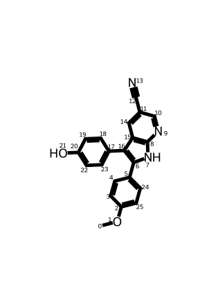 COc1ccc(-c2[nH]c3ncc(C#N)cc3c2-c2ccc(O)cc2)cc1